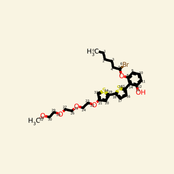 CCCCCC(Br)Oc1cccc(O)c1-c1ccc(-c2cc(OCCOCCOCCOC)cs2)s1